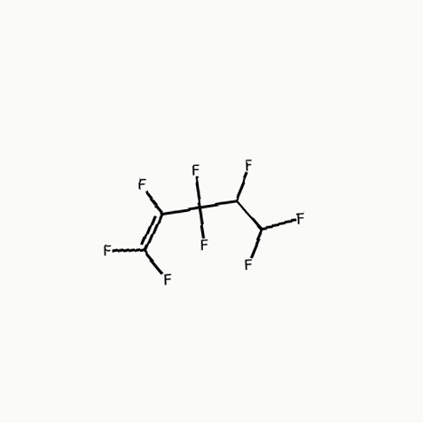 FC(F)=C(F)C(F)(F)C(F)C(F)F